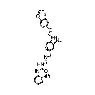 CC(C)c1ccccc1NC(=O)NS/N=C/c1cc2c(cn1)c(COc1ccc(OC(F)(F)F)cc1)nn2C